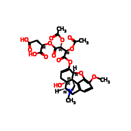 COc1ccc2c3c1O[C@@H]1C(OC(=O)[C@H](OC(C)=O)[C@@H](OC(C)=O)C(=O)O[C@H](CC(=O)O)C(=O)O)=CC[C@]4(O)[C@H](C2)N(C)CC[C@@]314